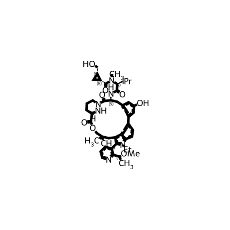 CCn1c(-c2cccnc2[C@H](C)OC)c2c3cc(ccc31)-c1cc(O)cc(c1)C[C@H](NC(=O)[C@H](C(C)C)N(C)C(=O)[C@@H]1C[C@@H]1CO)C(=O)N1CCC[C@H](N1)C(=O)OCC(C)(C)C2